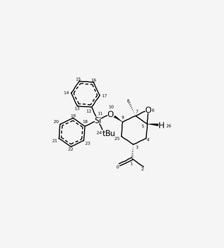 C=C(C)[C@H]1C[C@H]2O[C@]2(C)[C@H](O[Si](c2ccccc2)(c2ccccc2)C(C)(C)C)C1